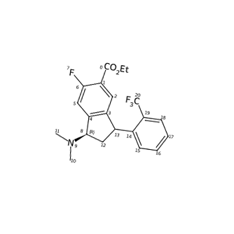 CCOC(=O)c1cc2c(cc1F)[C@H](N(C)C)CC2c1ccccc1C(F)(F)F